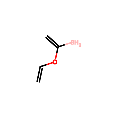 BC(=C)OC=C